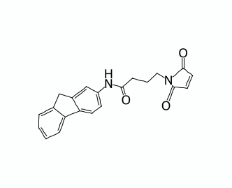 O=C(CCCN1C(=O)C=CC1=O)Nc1ccc2c(c1)Cc1ccccc1-2